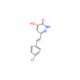 O=c1[nH]nc(/C=C/c2ccc(Cl)cc2)cc1O